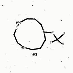 Cl.F[C](F)(F)[Ti][N]1CCCNCCCNCCC1